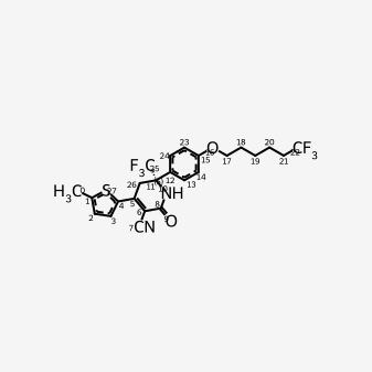 Cc1ccc(C2=C(C#N)C(=O)N[C@@](c3ccc(OCCCCCC(F)(F)F)cc3)(C(F)(F)F)C2)s1